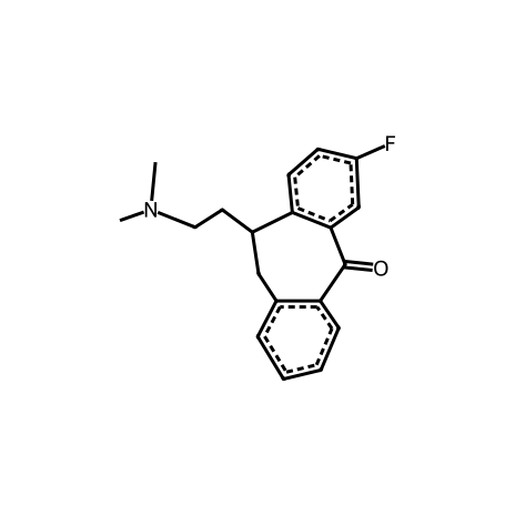 CN(C)CCC1Cc2ccccc2C(=O)c2cc(F)ccc21